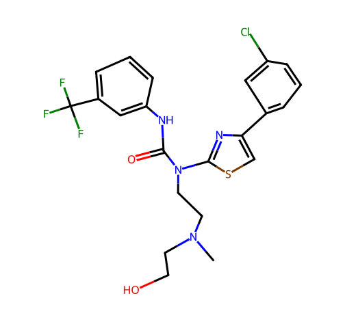 CN(CCO)CCN(C(=O)Nc1cccc(C(F)(F)F)c1)c1nc(-c2cccc(Cl)c2)cs1